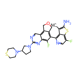 N#Cc1c(N)sc2c(F)cnc(-c3c4c(c5cnc(N6CC[C@@H](N7CCSCC7)C6)nc5c3F)COC4)c12